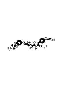 CC(C)C(C(=O)N[C@@H](Cc1ccc(OCCO)cc1)C(=O)O)n1cc(COc2ccc3nc(S(N)(=O)=O)sc3c2)nn1